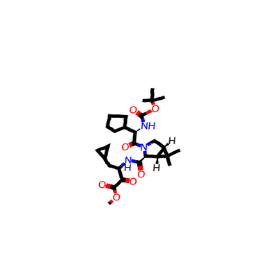 COC(=O)C(=O)C(CC1CC1)NC(=O)[C@@H]1[C@@H]2[C@H](CN1C(=O)[C@@H](NC(=O)OC(C)(C)C)C1CCCC1)C2(C)C